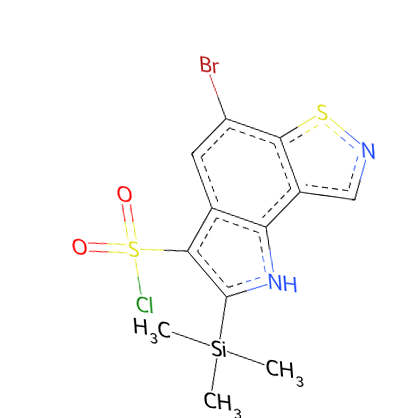 C[Si](C)(C)c1[nH]c2c(cc(Br)c3sncc32)c1S(=O)(=O)Cl